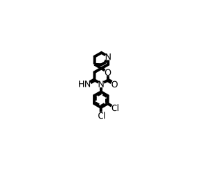 N=C1CC2(CN3CCC2CC3)OC(=O)N1c1ccc(Cl)c(Cl)c1